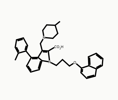 Cc1ccccc1-c1cccc2c1c(CN1CCC(C)CC1)c(C(=O)O)n2CCCOc1cccc2ccccc12